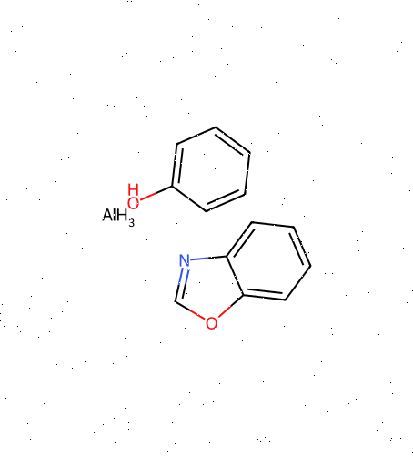 Oc1ccccc1.[AlH3].c1ccc2ocnc2c1